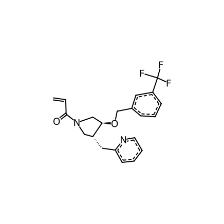 C=CC(=O)N1C[C@@H](Cc2ccccn2)[C@H](OCc2cccc(C(F)(F)F)c2)C1